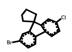 Clc1ccc2c(c1)C1(CCCC1)c1cc(Br)ccc1-2